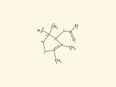 CCC(=O)CC1C(C)=C(C)CCC1(C)C